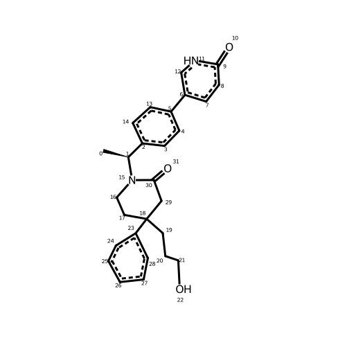 C[C@@H](c1ccc(-c2ccc(=O)[nH]c2)cc1)N1CCC(CCCO)(c2ccccc2)CC1=O